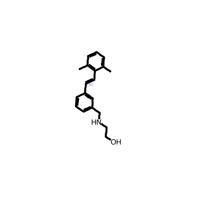 Cc1cccc(C)c1/C=C/c1cccc(CNCCO)c1